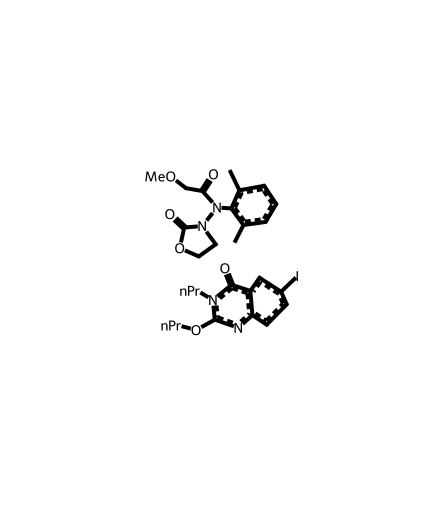 CCCOc1nc2ccc(I)cc2c(=O)n1CCC.COCC(=O)N(c1c(C)cccc1C)N1CCOC1=O